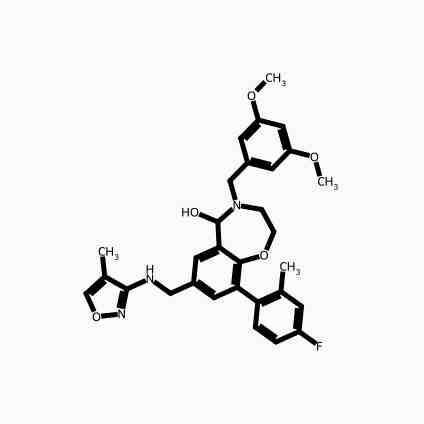 COc1cc(CN2CCOc3c(-c4ccc(F)cc4C)cc(CNc4nocc4C)cc3C2O)cc(OC)c1